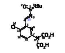 CC(C)(C)[S+]([O-])/N=C/c1nc(N(C(=O)O)C(=O)O)ccc1Cl